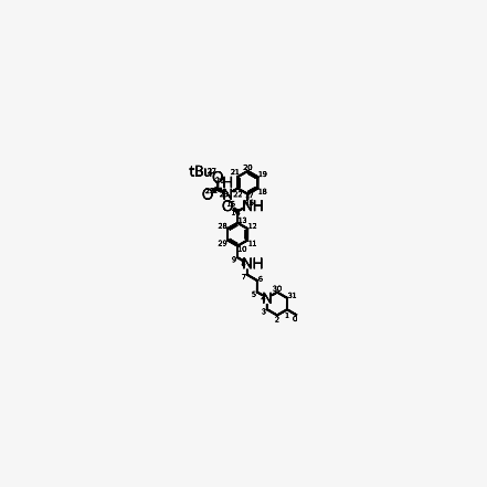 CC1CCN(CCCNCc2ccc(C(=O)Nc3ccccc3NC(=O)OC(C)(C)C)cc2)CC1